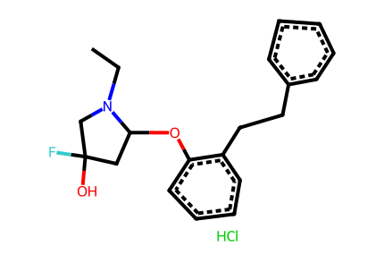 CCN1CC(O)(F)CC1Oc1ccccc1CCc1ccccc1.Cl